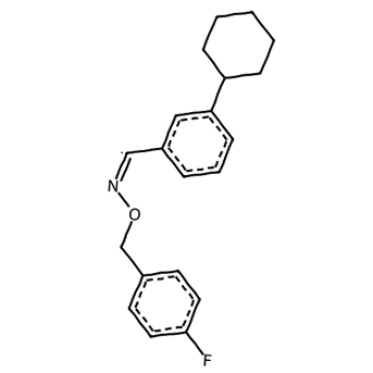 Fc1ccc(CO/N=[C]\c2cccc(C3CCCCC3)c2)cc1